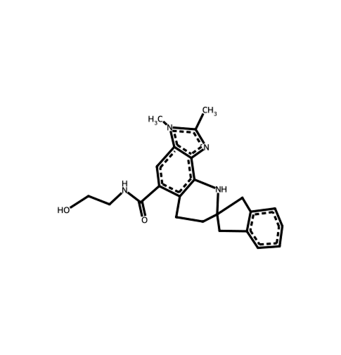 Cc1nc2c3c(c(C(=O)NCCO)cc2n1C)CCC1(Cc2ccccc2C1)N3